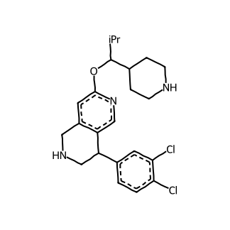 CC(C)C(Oc1cc2c(cn1)C(c1ccc(Cl)c(Cl)c1)CNC2)C1CCNCC1